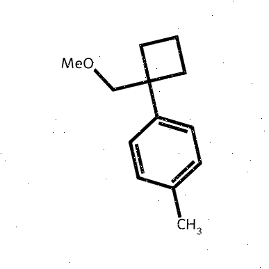 COCC1(c2ccc(C)cc2)CCC1